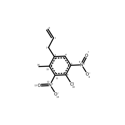 C=CCc1cc([N+](=O)[O-])c(Cl)c([N+](=O)[O-])c1C